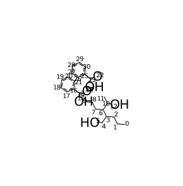 CCCC(CO)C(CCC)C(C)O.O=C(O)c1ccccc1.O=C(O)c1ccccc1